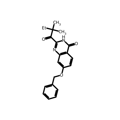 CCC(C)(C)C(=O)c1nc2cc(OCc3ccccc3)ccc2c(=O)[nH]1